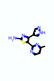 Cc1ccnc(-c2sc(N)nc2-c2cn[nH]c2)n1